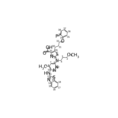 COCCCN(c1cc(C)c(Nc2nc3ccccc3s2)nn1)c1nc(C(=O)O)c(CCCOc2ccccc2F)s1